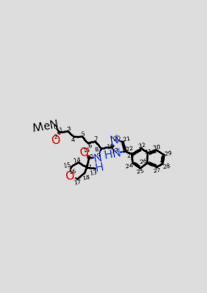 CNC(=O)CCCCCC(NC(=O)C1(C)CCOCC1)c1ncc(-c2ccc3ccccc3c2)[nH]1